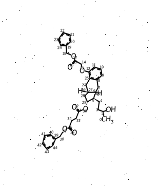 C[C@H](O)CC[C@@H]1[C@H]2Cc3cccc(OCC(=O)OCc4ccccc4)c3C[C@H]2C[C@H]1OC(=O)CCC(=O)OCc1ccccc1